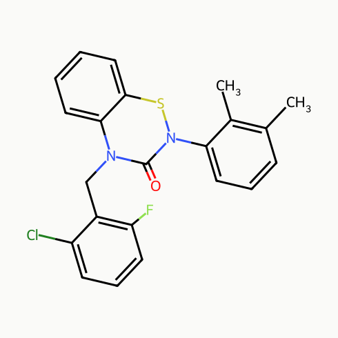 Cc1cccc(N2Sc3ccccc3N(Cc3c(F)cccc3Cl)C2=O)c1C